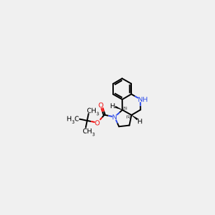 CC(C)(C)OC(=O)N1CC[C@H]2CNc3ccccc3[C@H]21